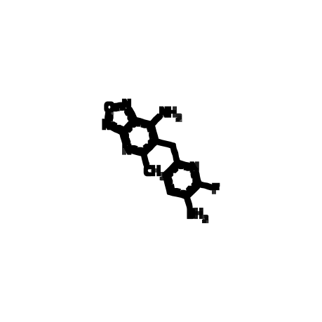 Bc1ccc(Cc2c(C)nc3nonc3c2N)nc1F